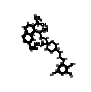 COc1ccc2ncc(N(C)C)c(C(O)CCC3(C(=O)O)CCN(CCSc4cc(F)cc(F)c4F)CC3)c2c1